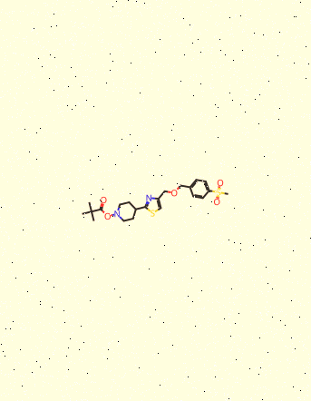 CC(C)(C)C(=O)ON1CCC(c2nc(COCc3ccc(S(C)(=O)=O)cc3)cs2)CC1